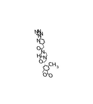 Cc1cc2c(cc1[C@H]1CN3CCN(C(=O)Cc4ccc(-n5cnnn5)nc4)C[C@H]3CO1)COC2=O